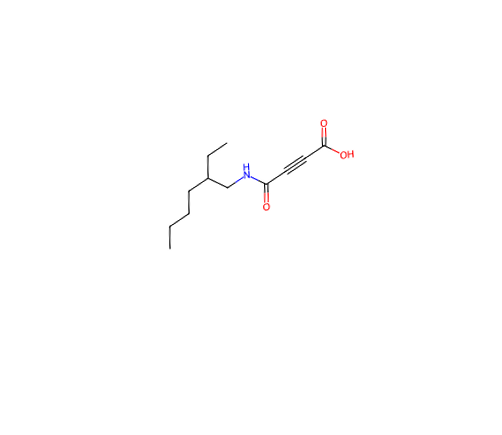 CCCCC(CC)CNC(=O)C#CC(=O)O